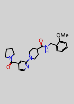 COc1ccccc1CNC(=O)C1CCN(c2cc(C(=O)N3CCCC3)ccn2)CC1